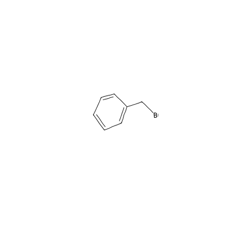 [B]Cc1ccccc1